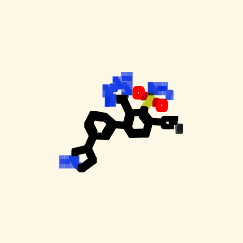 NS(=O)(=O)c1c(C(F)(F)F)ccc(-c2cccc(C3CCNC3)c2)c1-c1nnn[nH]1